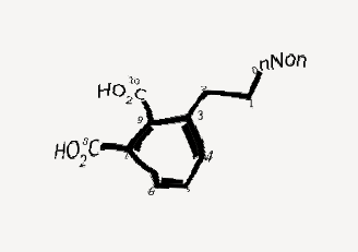 CCCCCCCCCCCc1cccc(C(=O)O)c1C(=O)O